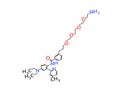 CCN(CC)c1ccc(NC(=O)c2cccc(CCCOCCOCCOCCOCCN)c2)c(-c2cc(C)ccn2)c1